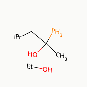 CC(C)CC(C)(O)P.CCO